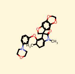 CC1CC=C2C(=C1Oc1cccc(N3CCOCC3)c1)C1(COc3cc4c(cc31)OCCO4)C(=O)N2C